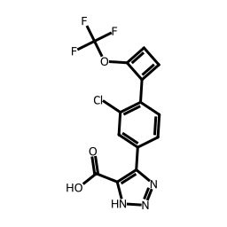 O=C(O)c1[nH]nnc1-c1ccc(C2=CC=C2OC(F)(F)F)c(Cl)c1